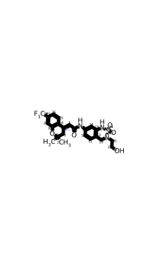 CC1(C)C/C(=C\C(=O)Nc2ccc3c(c2)NS(=O)(=O)N(CCO)C3)c2ccc(C(F)(F)F)cc2O1